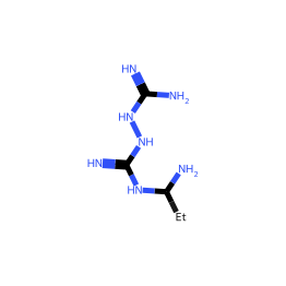 CCC(N)NC(=N)NNC(=N)N